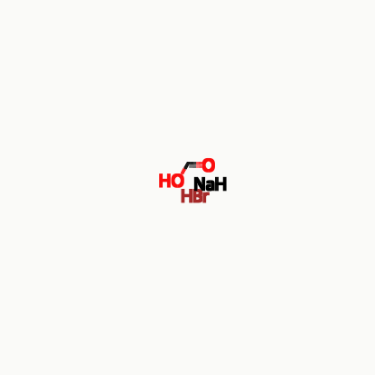 Br.O=CO.[NaH]